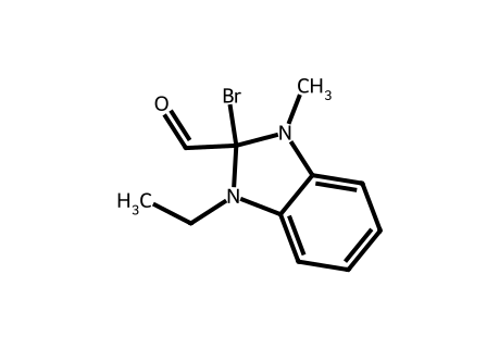 CCN1c2ccccc2N(C)C1(Br)C=O